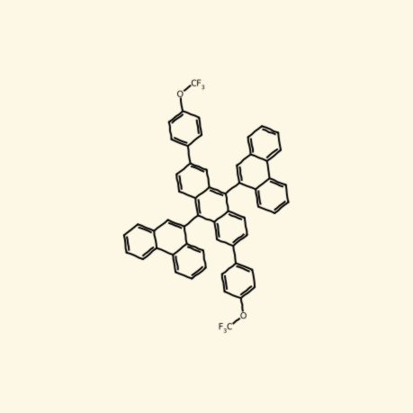 FC(F)(F)Oc1ccc(-c2ccc3c(-c4cc5ccccc5c5ccccc45)c4cc(-c5ccc(OC(F)(F)F)cc5)ccc4c(-c4cc5ccccc5c5ccccc45)c3c2)cc1